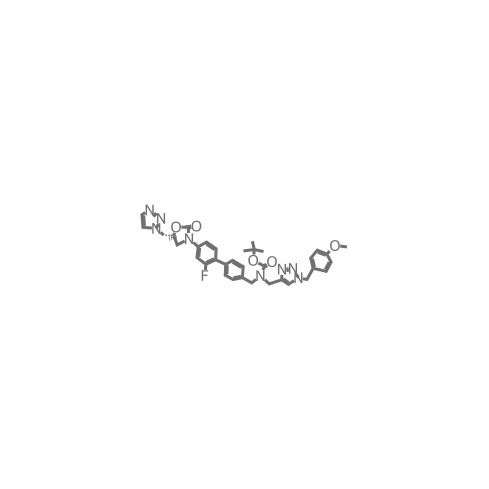 COc1ccc(Cn2cc(CN(Cc3ccc(-c4ccc(N5C[C@H](Cn6ccnn6)OC5=O)cc4F)cc3)C(=O)OC(C)(C)C)nn2)cc1